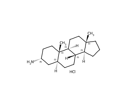 C[C@@]12CCC[C@H]1[C@@H]1CC[C@H]3C[C@H](N)CC[C@]3(C)[C@H]1CC2.Cl